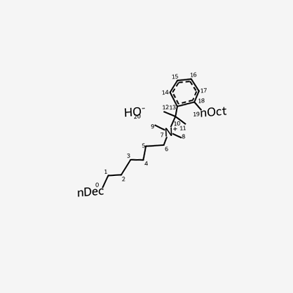 CCCCCCCCCCCCCCCC[N+](C)(C)C(C)(C)c1ccccc1CCCCCCCC.[OH-]